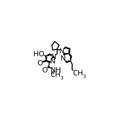 CCCc1cnc2c(ccn2C2(Cn3cc(O)c(=O)c(C(=O)NC)n3)CCCC2)c1